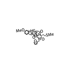 COc1ccc(CNC(=O)N2[C@H]3CN(Cc4ccco4)C(=O)[C@H](CCSC)N3C(=O)CN2C)cc1